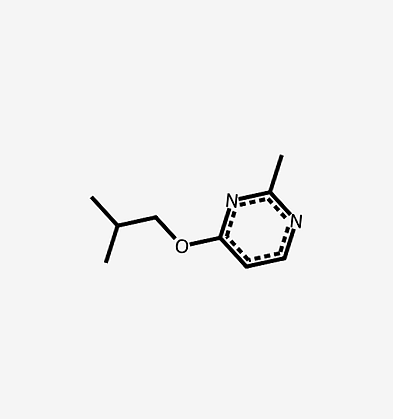 Cc1nccc(OCC(C)C)n1